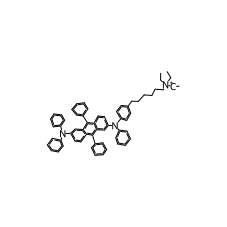 CC[N+](CC)(CC)CCCCCCc1ccc(N(c2ccccc2)c2ccc3c(-c4ccccc4)c4cc(N(c5ccccc5)c5ccccc5)ccc4c(-c4ccccc4)c3c2)cc1